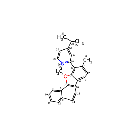 Cc1ccc2c(oc3c4ccccc4ccc23)c1-c1cc(C(C)C)cc[n+]1C